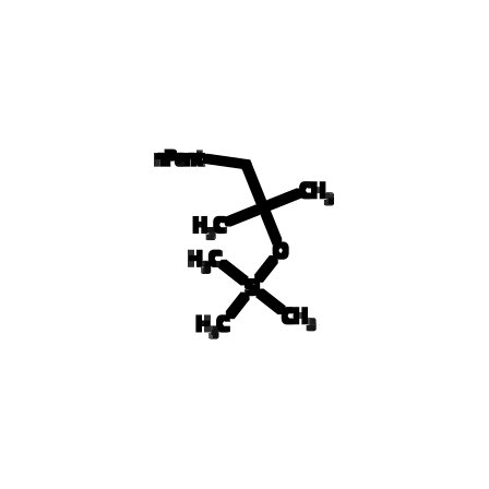 [CH2]CCCCCC(C)(C)O[Si](C)(C)C